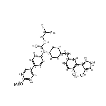 COc1ncc(-c2ccc(N(C(=O)OCC(F)F)[C@H]3CC[C@H](Nc4ncc(C(F)(F)F)c(-c5n[nH]cc5Cl)n4)CC3)nc2)cn1